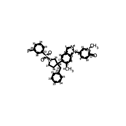 Cc1cc2c(cnn2-c2ccc(=O)n(C)c2)cc1C1(Cc2ccccc2)CCN(S(=O)(=O)c2cccc(F)c2)C1